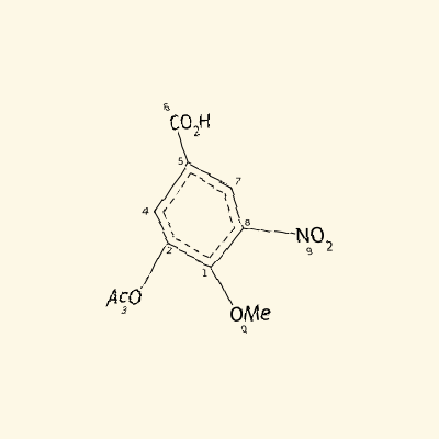 COc1c(OC(C)=O)cc(C(=O)O)cc1[N+](=O)[O-]